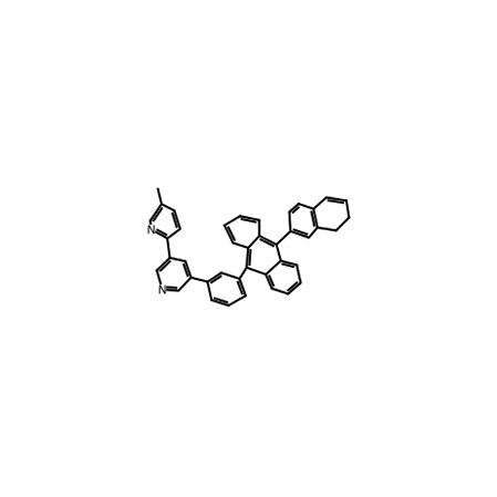 Cc1ccc(-c2cncc(-c3cccc(-c4c5ccccc5c(-c5ccc6c(c5)CCC=C6)c5ccccc45)c3)c2)nc1